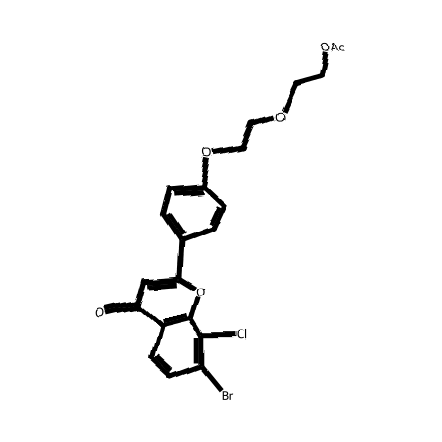 CC(=O)OCCOCCOc1ccc(-c2cc(=O)c3ccc(Br)c(Cl)c3o2)cc1